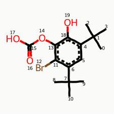 CC(C)(C)c1cc(C(C)(C)C)c(Br)c(OC(=O)O)c1O